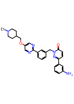 CCN1CCC(COc2cnc(-c3cccc(Cn4nc(-c5cccc(N)c5)ccc4=O)c3)nc2)CC1